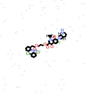 COc1c(N2C[C@H]3CCCN[C@H]3C2)c(F)cc2c(=O)c(C(=O)OCCCOC(=O)Cc3ccccc3Nc3c(Cl)cccc3Cl)cn(C3CC3)c12